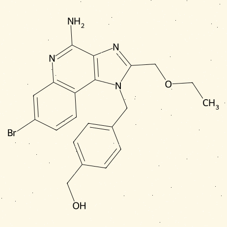 CCOCc1nc2c(N)nc3cc(Br)ccc3c2n1Cc1ccc(CO)cc1